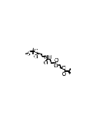 C=C(C)C(=O)OCCOC(=O)CCC(=O)NCCC(=O)OC(C)(C)CSC